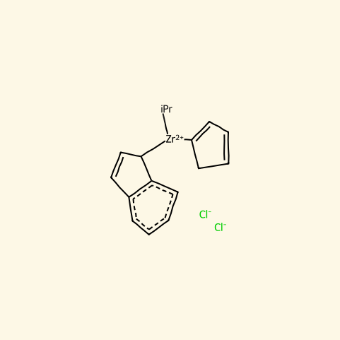 C[CH](C)[Zr+2]([C]1=CC=CC1)[CH]1C=Cc2ccccc21.[Cl-].[Cl-]